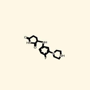 O=C1CCC(Nc2ccc(F)c(N3CCNCC3)c2)C(=O)N1